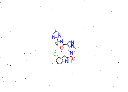 Cc1cnc(C2(N(C)C(=O)c3cnn4c3CN(C(=O)c3cc5c(Cl)cccc5[nH]3)CC4)CC2)nc1